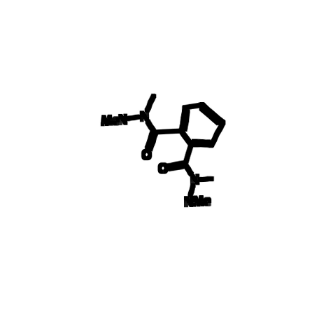 CNN(C)C(=O)c1ccccc1C(=O)N(C)NC